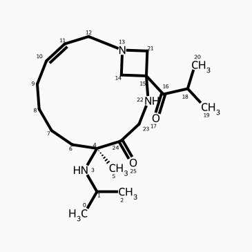 CC(C)N[C@@]1(C)CCCCC=CCN2CC(C(=O)C(C)C)(C2)NCC1=O